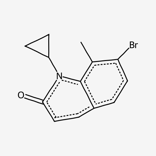 Cc1c(Br)ccc2ccc(=O)n(C3CC3)c12